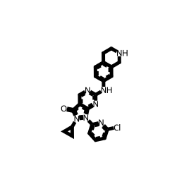 O=c1c2cnc(Nc3ccc4c(c3)CNCC4)nc2n(-c2cccc(Cl)n2)n1C1CC1